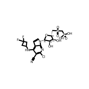 N#Cc1c(Cl)nc2c(ccn2[C@@H]2O[C@H](CS(=O)(=O)CP(=O)(O)O)[C@@H](O)[C@H]2O)c1NC1CC(F)(F)C1